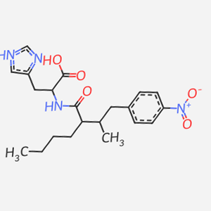 CCCCC(C(=O)NC(Cc1c[nH]cn1)C(=O)O)C(C)Cc1ccc([N+](=O)[O-])cc1